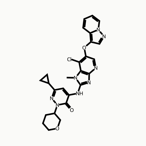 Cn1c(Nc2cc(C3CC3)nn(C3CCCOC3)c2=O)nc2ncc(Oc3cnn4ccccc34)c(Cl)c21